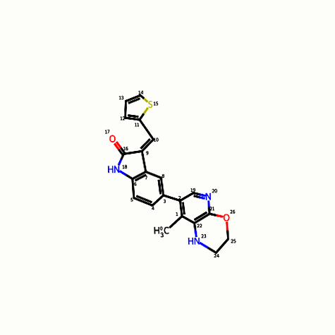 Cc1c(-c2ccc3c(c2)C(=Cc2cccs2)C(=O)N3)cnc2c1NCCO2